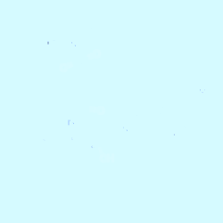 CCCN(CCC)S(=O)(=O)CCC(=O)N[C@@H](Cc1cccc2ccccc12)[C@@H](O)CNCc1cccc(OC)c1